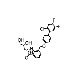 O=c1c2cccc(COc3ccc(-c4cc(F)c(F)cc4Cl)cc3)c2[nH]n1CC(O)CO